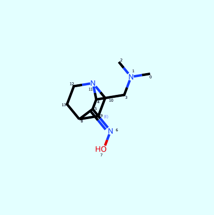 CN(C)CC1/C(=N/O)C2CCN1CC2